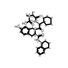 C[C@@H](C(=O)N[C@H](C(=O)N1Cc2cc(O)ccc2C[C@@H]1C(=O)N[C@H]1CCCc2ccccc21)C1CCCCC1)N(C)C(=O)O